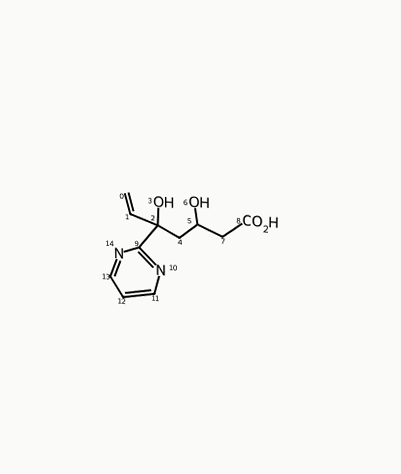 C=CC(O)(CC(O)CC(=O)O)c1ncccn1